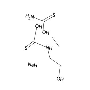 CC.NC(O)=S.OCCNC(O)=S.[NaH]